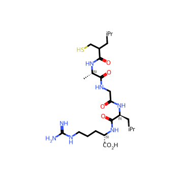 CC(C)CC(CS)C(=O)N[C@@H](C)C(=O)NCC(=O)N[C@@H](CC(C)C)C(=O)N[C@@H](CCCNC(=N)N)C(=O)O